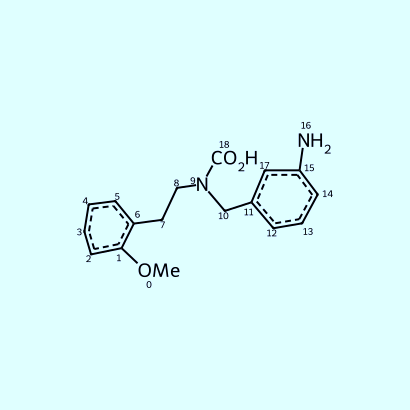 COc1ccccc1CCN(Cc1cccc(N)c1)C(=O)O